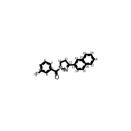 O=C(c1cccc(F)c1)N1CCC(c2ccc3ccccc3c2)=N1